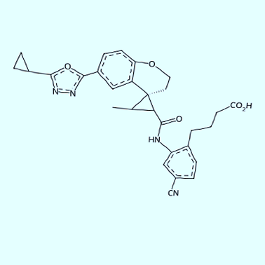 CC1C(C(=O)Nc2cc(C#N)ccc2CCCC(=O)O)[C@@]12CCOc1ccc(-c3nnc(C4CC4)o3)cc12